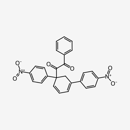 O=C(C(=O)C1(c2ccc([N+](=O)[O-])cc2)C=CC=C(c2ccc([N+](=O)[O-])cc2)C1)c1ccccc1